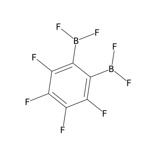 FB(F)c1c(F)c(F)c(F)c(F)c1B(F)F